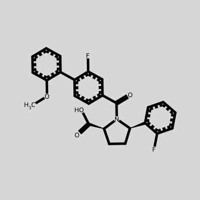 COc1ccccc1-c1ccc(C(=O)N2[C@@H](c3ccccc3F)CC[C@H]2C(=O)O)cc1F